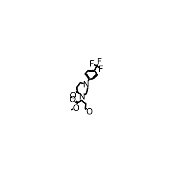 COC(=O)C(CC=O)N1CCN(c2ccc(C(F)(F)F)cc2)CCC1=O